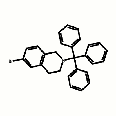 Brc1ccc2c(c1)CCN(C(c1ccccc1)(c1ccccc1)c1ccccc1)C2